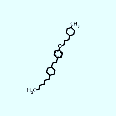 CCCCCCC1CCC(CCc2ccc(OCCCC3CCC(C)CC3)cc2)CC1